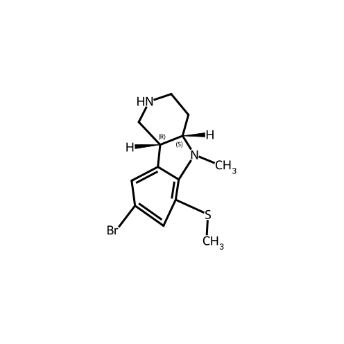 CSc1cc(Br)cc2c1N(C)[C@H]1CCNC[C@@H]21